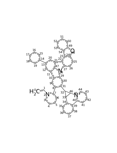 C=C[n+]1ccccc1-c1cc2c3cc(-c4ccccc4)cc4c5c6c(ccc5n(c2cc1C1C2c5ccccc5-c5cccc[n+]5C12)c34)oc1ccccc16